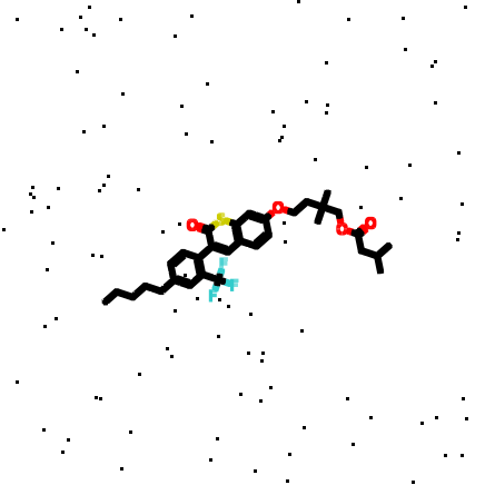 CCCCCc1ccc(-c2cc3ccc(OCCC(C)(C)COC(=O)CC(C)C)cc3sc2=O)c(C(F)(F)F)c1